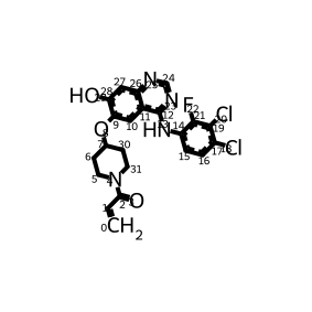 C=CC(=O)N1CCC(Oc2cc3c(Nc4ccc(Cl)c(Cl)c4F)ncnc3cc2O)CC1